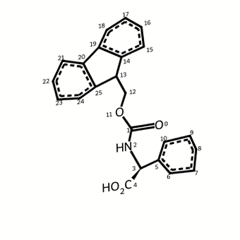 O=C(N[C@H](C(=O)O)c1ccccc1)OCC1c2ccccc2-c2ccccc21